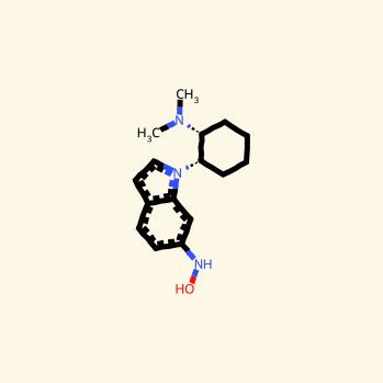 CN(C)[C@@H]1CCCC[C@@H]1n1ccc2ccc(NO)cc21